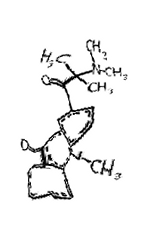 CN(C)C(C)(C)C(=O)c1ccc2c(c1)c(=O)c1ccccc1n2C